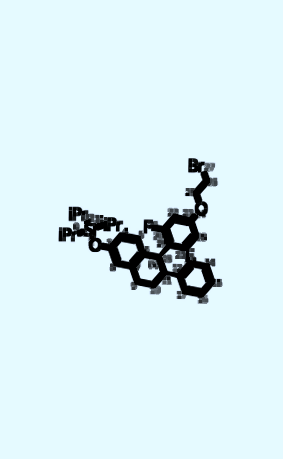 CC(C)[Si](Oc1ccc2c(c1)CC[C@H](c1ccccc1)[C@@H]2c1c(F)cc(OCCBr)cc1F)(C(C)C)C(C)C